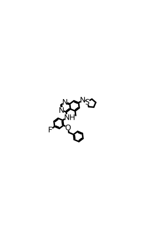 Cc1cc(N=S2CCCC2)cc2ncnc(Nc3ccc(F)cc3OCc3ccccc3)c12